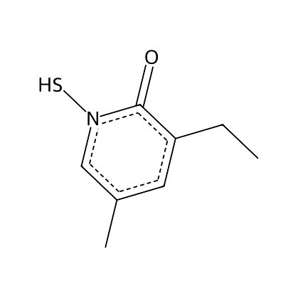 CCc1cc(C)cn(S)c1=O